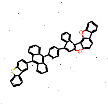 c1ccc2c(c1)oc1c2ccc2oc3cc(-c4ccc(-c5c6ccccc6c(-c6ccc7sc8ccccc8c7c6)c6ccccc56)cc4)c4ccccc4c3c21